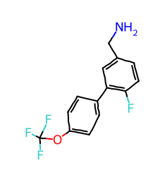 NCc1ccc(F)c(-c2ccc(OC(F)(F)F)cc2)c1